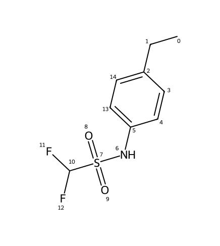 CCc1ccc(NS(=O)(=O)C(F)F)cc1